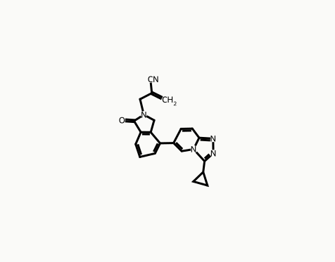 C=C(C#N)CN1Cc2c(cccc2-c2ccc3nnc(C4CC4)n3c2)C1=O